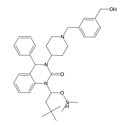 C[SiH](C)OC(CC(C)(C)C)N1C(=O)N(C2CCN(Cc3cccc(CO)c3)CC2)C(c2ccccc2)c2ccccc21